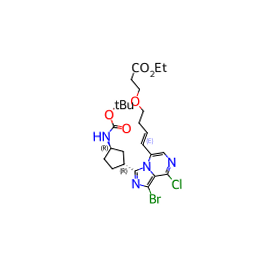 CCOC(=O)CCOCC/C=C/c1cnc(Cl)c2c(Br)nc([C@@H]3CC[C@@H](NC(=O)OC(C)(C)C)C3)n12